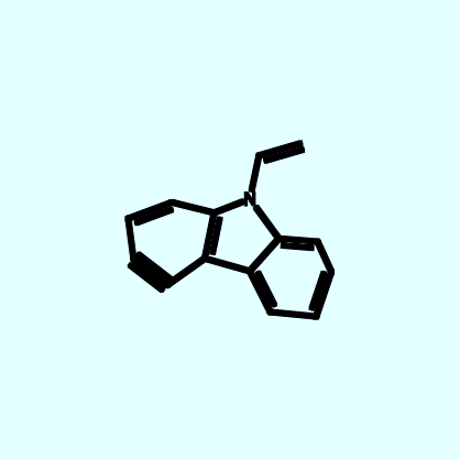 C=Cn1c2ccc#cc2c2ccccc21